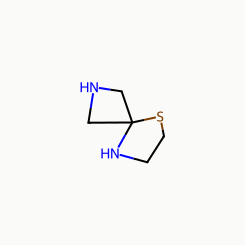 C1CSC2(CNC2)N1